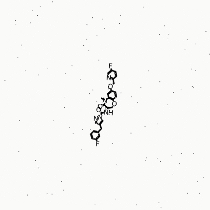 CN1C(=O)[C@@H](NC(=O)n2cc(Cc3cccc(F)c3)cn2)COc2ccc(OCc3ccc(F)cn3)cc21